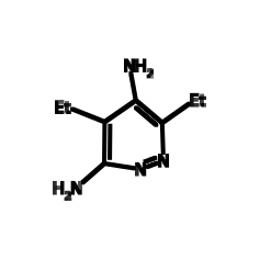 CCc1nnc(N)c(CC)c1N